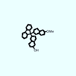 COc1ccc2cc(C3(c4ccc5cc(O)ccc5c4)c4ccccc4-c4ccccc43)ccc2c1